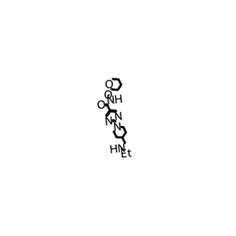 CCNCC1CCN(c2ncc(C(=O)NOC3CCCCO3)cn2)CC1